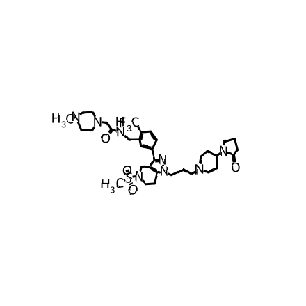 CN1CCN(CC(=O)NCc2cc(-c3nn(CCCN4CCC(N5CCCC5=O)CC4)c4c3CN(S(C)(=O)=O)CC4)ccc2C(F)(F)F)CC1